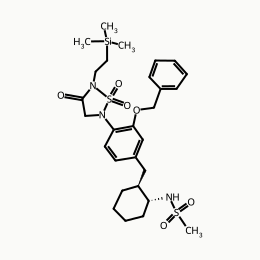 C[Si](C)(C)CCN1C(=O)CN(c2ccc(C[C@@H]3CCCC[C@H]3NS(C)(=O)=O)cc2OCc2ccccc2)S1(=O)=O